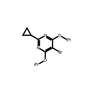 CC(C)Oc1nc(C2CC2)nc(OC(C)C)c1Br